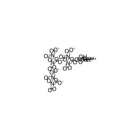 O=C([O-])CN(CCN(CC(=O)[O-])CC(=O)[O-])CC(=O)[O-].O=C([O-])CN(CCN(CC(=O)[O-])CC(=O)[O-])CC(=O)[O-].O=C([O-])CN(CCN(CC(=O)[O-])CC(=O)[O-])CC(=O)[O-].O=[N+]([O-])O.[Fe+3].[Fe+3].[Fe+3].[Fe+3]